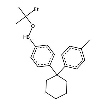 CCC(C)(C)OBc1ccc(C2(c3ccc(C)cc3)CCCCC2)cc1